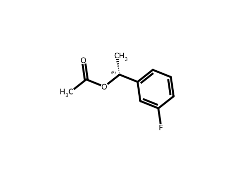 CC(=O)O[C@H](C)c1cccc(F)c1